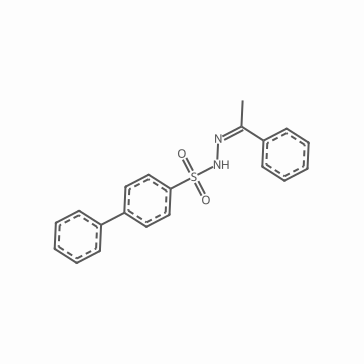 CC(=NNS(=O)(=O)c1ccc(-c2ccccc2)cc1)c1ccccc1